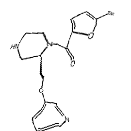 O=C(c1ccc(Br)o1)N1CCNC[C@@H]1COc1cccnc1